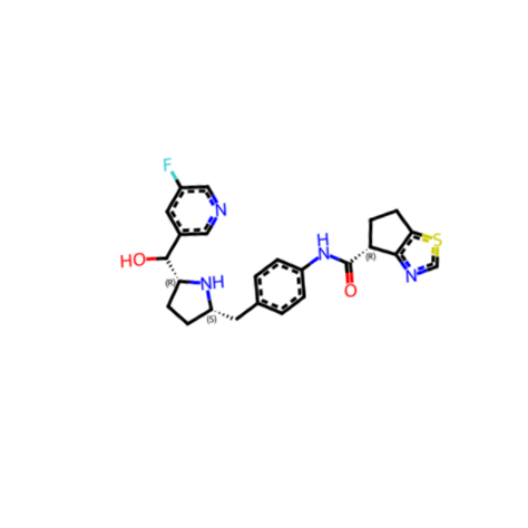 O=C(Nc1ccc(C[C@@H]2CC[C@H](C(O)c3cncc(F)c3)N2)cc1)[C@@H]1CCc2scnc21